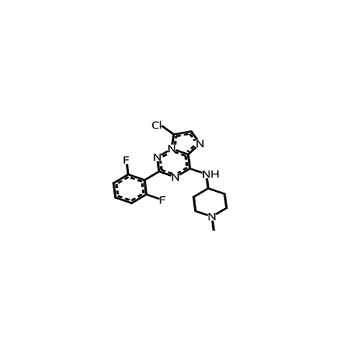 CN1CCC(Nc2nc(-c3c(F)cccc3F)nn3c(Cl)cnc23)CC1